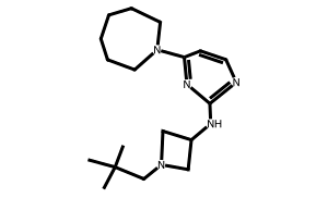 CC(C)(C)CN1CC(Nc2nccc(N3CCCCCC3)n2)C1